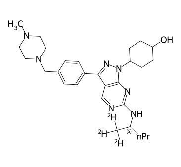 [2H]C([2H])([2H])[C@@H](CCC)Nc1ncc2c(-c3ccc(CN4CCN(C)CC4)cc3)nn(C3CCC(O)CC3)c2n1